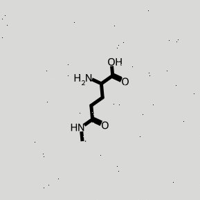 [CH2]NC(=O)CCC(N)C(=O)O